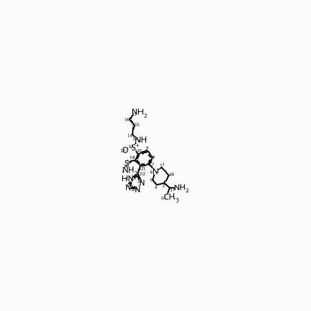 CC(N)C1CCN(c2ccc([S+]([O-])NCCCN)c(SN)c2-c2nnn[nH]2)CC1